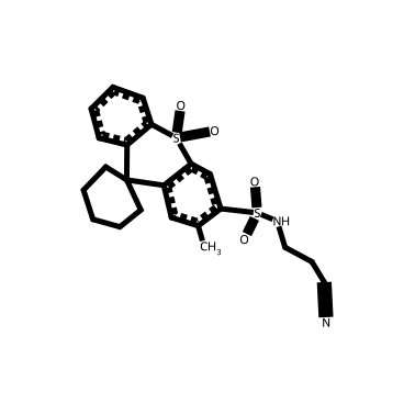 Cc1cc2c(cc1S(=O)(=O)NCCC#N)S(=O)(=O)c1ccccc1C21CCCCC1